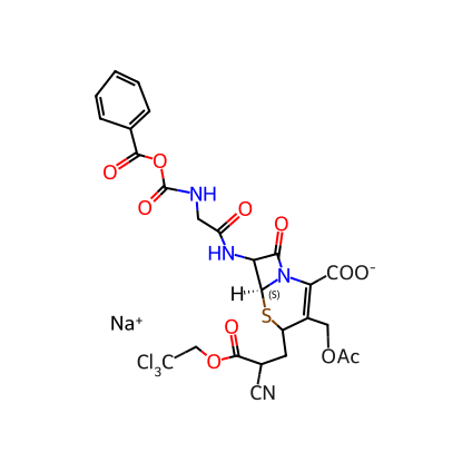 CC(=O)OCC1=C(C(=O)[O-])N2C(=O)C(NC(=O)CNC(=O)OC(=O)c3ccccc3)[C@@H]2SC1CC(C#N)C(=O)OCC(Cl)(Cl)Cl.[Na+]